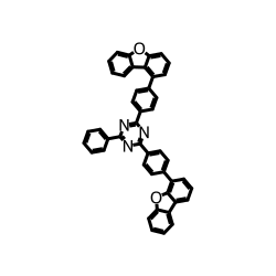 c1ccc(-c2nc(-c3ccc(-c4cccc5c4oc4ccccc45)cc3)nc(-c3ccc(-c4cccc5oc6ccccc6c45)cc3)n2)cc1